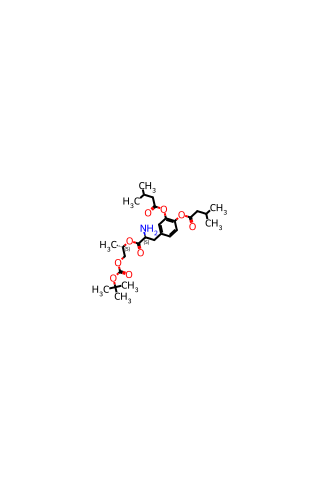 CC(C)CC(=O)Oc1ccc(C[C@H](N)C(=O)O[C@@H](C)COC(=O)OC(C)(C)C)cc1OC(=O)CC(C)C